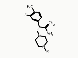 C=C(N)[C@H](CN1CCN(C(C)C)CC1)c1ccc(C(F)(F)F)c(F)c1